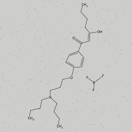 CCCC/C(O)=C\C(=O)c1ccc(OCCCN(CCCC)CCCC)cc1.FB(F)F